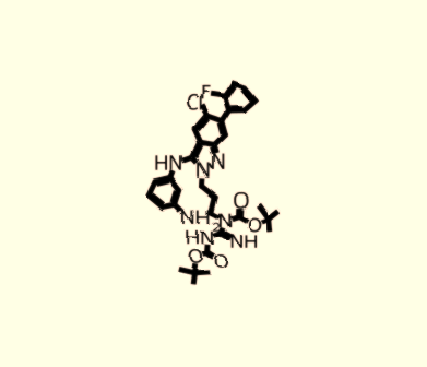 CC(C)(C)OC(=O)NC(=N)N(CCCn1nc2cc(-c3ccccc3F)c(Cl)cc2c1Nc1cccc(N)c1)C(=O)OC(C)(C)C